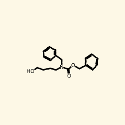 O=C(OCc1ccccc1)N(CCCCO)Cc1ccccc1